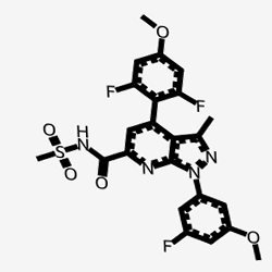 COc1cc(F)cc(-n2nc(C)c3c(-c4c(F)cc(OC)cc4F)cc(C(=O)NS(C)(=O)=O)nc32)c1